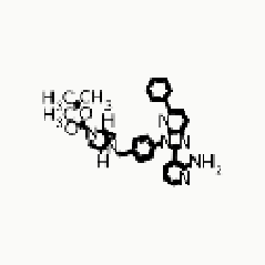 CC(C)(C)OC(=O)N1C[C@@H]2C[C@H]1CN2Cc1ccc(-n2c(-c3cccnc3N)nc3ccc(-c4ccccc4)nc32)cc1